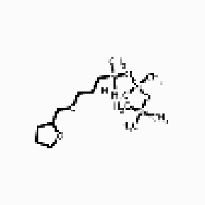 C[Si](C)(C)O[Si](C)(C)O[Si](C)(C)CCCOCC1CCCO1